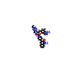 CCN1CCn2c(cnc2C(Cc2cc(C)c3[nH]ncc3c2)OC(=O)N2CCC(c3cc4ccccc4[nH]c3=O)CC2)C1